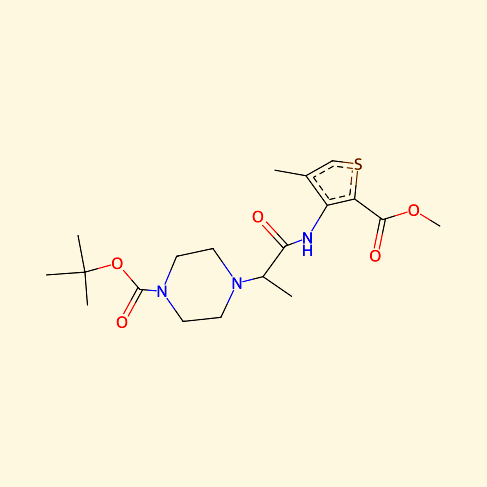 COC(=O)c1scc(C)c1NC(=O)C(C)N1CCN(C(=O)OC(C)(C)C)CC1